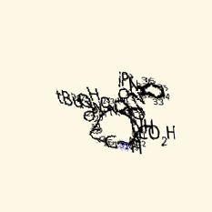 CC(C)n1c(O[C@@H]2C[C@H]3C(=O)N[C@]4(C(=O)O)C[C@H]4/C=C\CCCCC[C@H](NC(=O)OC(C)(C)C)C(=O)N3C2)nc2ccccc21